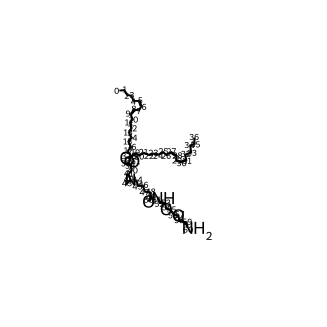 CCCCC/C=C\C/C=C\CCCCCCCCC1(CCCCCCCC/C=C\C/C=C\CCCCC)OCC(CCN(C)CCCCCC(=O)NCCOCCOCCN)O1